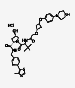 Cc1ncsc1-c1ccc(CNC(=O)[C@@H]2C[C@@H](O)CN2C(=O)[C@@H](NC(=O)COC2CC(Oc3ccc(N4CCNCC4)cc3)C2)C(C)(C)C)cc1.Cl